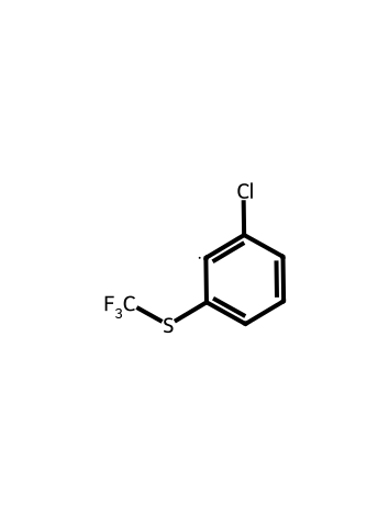 FC(F)(F)Sc1[c]c(Cl)ccc1